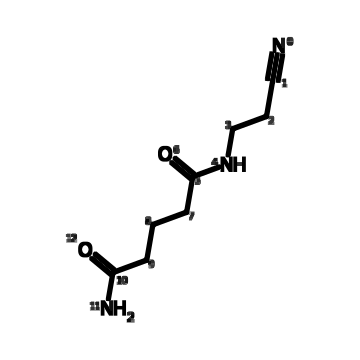 N#CCCNC(=O)CCCC(N)=O